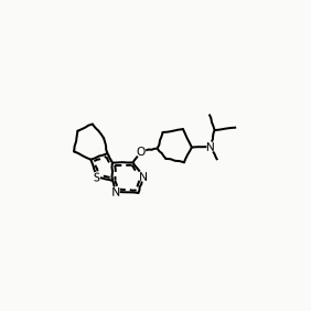 CC(C)N(C)C1CCC(Oc2ncnc3sc4c(c23)CCCC4)CC1